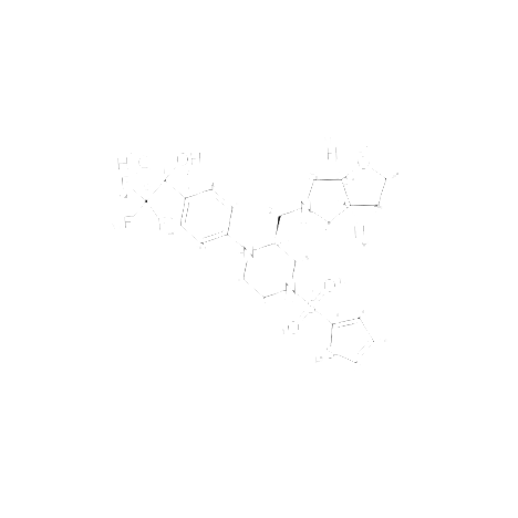 C[C@](O)(c1ccc(N2CCN(S(=O)(=O)c3cccs3)C[C@@H]2CN2C[C@@H]3CCO[C@@H]3C2)cc1)C(F)(F)F